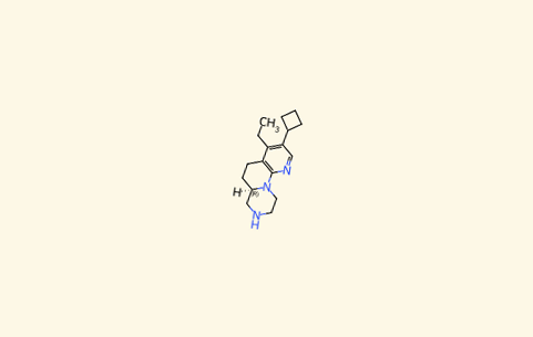 CCc1c(C2CCC2)cnc2c1CC[C@@H]1CNCCN21